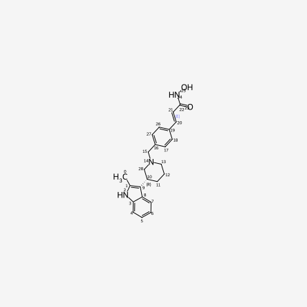 Cc1[nH]c2ccccc2c1[C@H]1CCCN(Cc2ccc(/C=C/C(=O)NO)cc2)C1